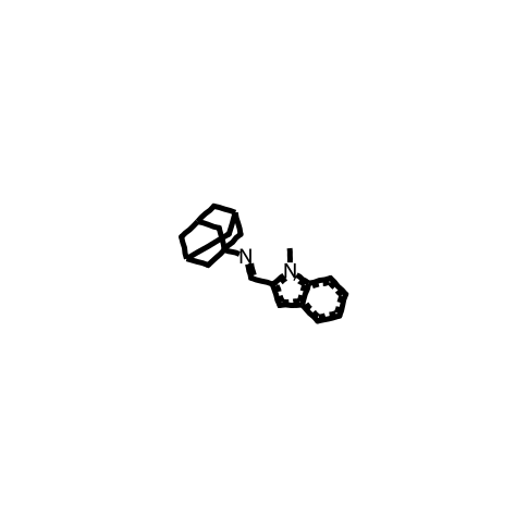 Cn1c(C=NC23CC4CC(CC(C4)C2)C3)cc2ccccc21